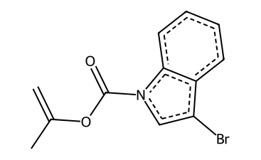 C=C(C)OC(=O)n1cc(Br)c2ccccc21